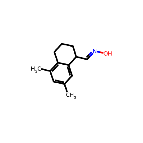 Cc1cc(C)c2c(c1)C(C=NO)CCC2